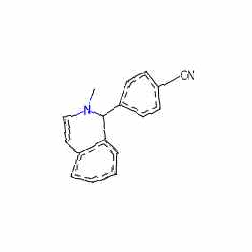 CN1C=Cc2ccccc2C1c1ccc(C#N)cc1